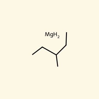 CCC(C)CC.[MgH2]